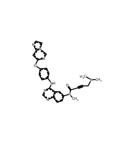 CN(C)CC#CC(=O)N(C)c1ccc2ncnc(Nc3ccc(Oc4cc5nccn5cn4)cc3)c2c1